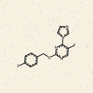 Fc1ccc(COc2ncc(F)c(-n3ccnc3)n2)cc1